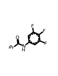 CC(C)C(=O)Nc1cc(F)c(F)c(F)c1